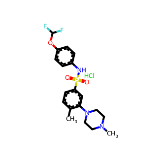 Cc1ccc(S(=O)(=O)Nc2ccc(OC(F)F)cc2)cc1N1CCN(C)CC1.Cl